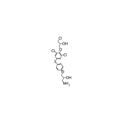 NCC(O)COc1ccc(Sc2cc(Cl)c(OCC(O)CCl)c(Cl)c2)cc1